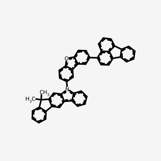 CC1(C)c2ccccc2-c2cc3c4ccccc4n(-c4ccc5oc6ccc(-c7ccc8c9c(cccc79)-c7ccccc7-8)cc6c5c4)c3cc21